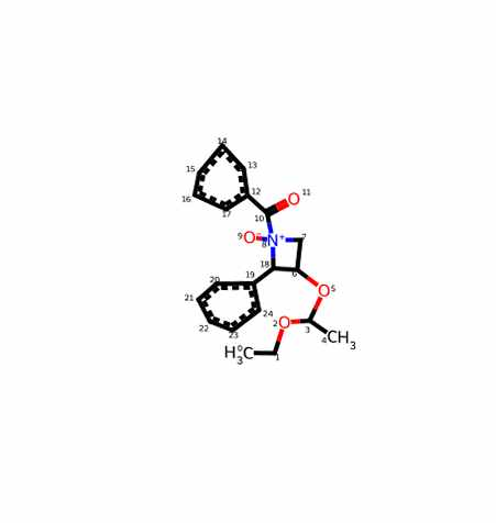 CCOC(C)OC1C[N+]([O-])(C(=O)c2ccccc2)C1c1ccccc1